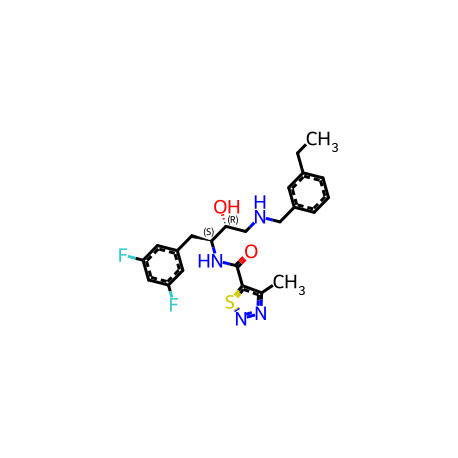 CCc1cccc(CNC[C@@H](O)[C@H](Cc2cc(F)cc(F)c2)NC(=O)c2snnc2C)c1